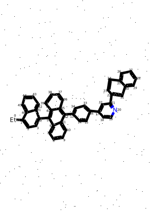 CCc1ccc(-c2c3ccccc3c(-c3ccc(-c4ccnc(-c5ccc6ccccc6c5)c4)cc3)c3ccccc23)c2ccccc12